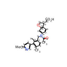 COc1ccc(-c2c(C(F)(F)F)ccc(CN(C(=O)C(F)(F)F)c3ccc4c(c3)OC[C@H]4CC(=O)O)c2C)cn1